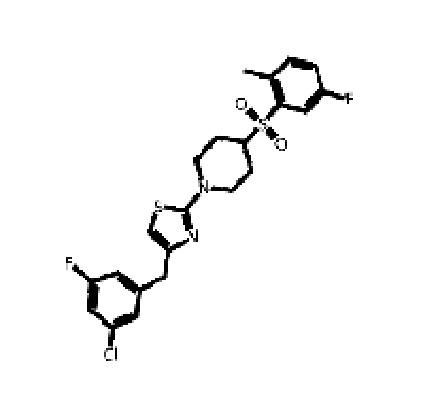 Cc1ccc(F)cc1S(=O)(=O)C1CCN(c2nc(Cc3cc(F)cc(Cl)c3)cs2)CC1